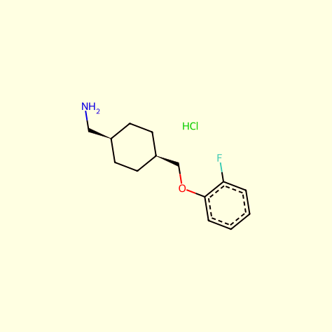 Cl.NC[C@H]1CC[C@@H](COc2ccccc2F)CC1